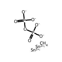 C.O=P([O-])([O-])OP(=O)([O-])[O-].[Sn+2].[Sn+2]